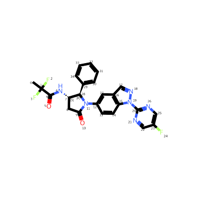 CC(F)(F)C(=O)N[C@H]1CC(=O)N(c2ccc3c(cnn3-c3ncc(F)cn3)c2)[C@@H]1c1ccccc1